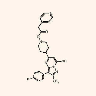 Cc1nn2c(O)cc(C3CCN(OC(=O)Cc4ccccc4)CC3)nc2c1-c1ccc(F)cc1